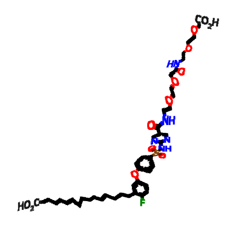 O=C(O)CCCCCCCCCCCCCCCc1cc(Oc2ccc(S(=O)(=O)Nc3ncc(C(=O)NCCOCCOCC(=O)NCCOCCOCC(=O)O)cn3)cc2)ccc1F